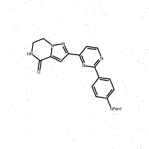 CCCCCc1ccc(-c2nccc(-c3cc4n(n3)CCNC4=O)n2)cc1